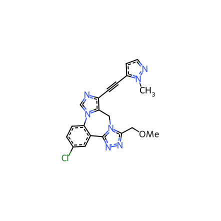 COCc1nnc2n1Cc1c(C#Cc3ccnn3C)ncn1-c1ccc(Cl)cc1-2